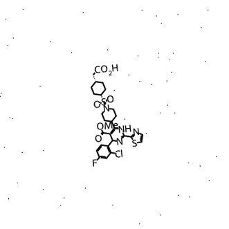 COC(=O)C1=C(C2CCN(S(=O)(=O)[C@H]3CC[C@@H](CC(=O)O)CC3)CC2)NC(c2nccs2)=NC1c1ccc(F)cc1Cl